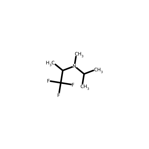 CC(C)N(C)C(C)C(F)(F)F